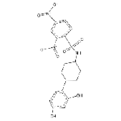 O=[N+]([O-])c1ccc(S(=O)(=O)NC2CCC(c3ccc(O)cc3O)CC2)c([N+](=O)[O-])c1